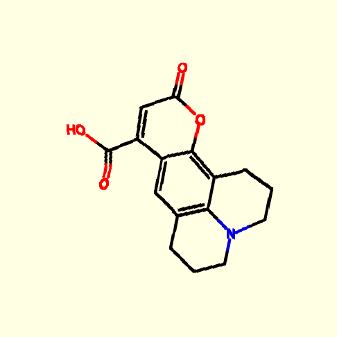 O=C(O)c1cc(=O)oc2c3c4c(cc12)CCCN4CCC3